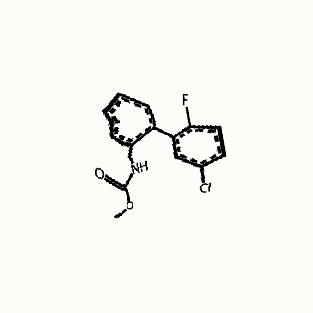 COC(=O)Nc1ccccc1-c1cc(Cl)ccc1F